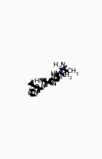 CC(C)C(=C/N)/C=C(\N)Nc1ccc2ncc(/C(C=N)=C/NCC(CN3CCOCC3)OCC3CC3)cc2n1